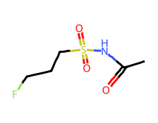 CC(=O)NS(=O)(=O)CCCF